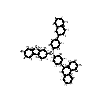 c1ccc2cc(-c3ccc(N(c4ccc(-c5cc6ccccc6c6ccccc56)cc4)c4ccc5c(c4)sc4ccccc45)cc3)ccc2c1